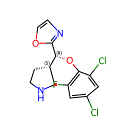 Fc1cc(Cl)cc(Cl)c1O[C@@H](c1ncco1)[C@H]1CCNC1